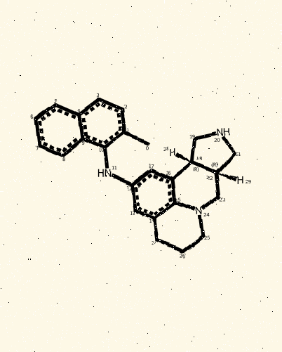 Cc1ccc2ccccc2c1Nc1cc2c3c(c1)[C@@H]1CNC[C@@H]1CN3CCC2